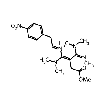 C\N=C(/C(CC(=O)OC)=C(\N=C\Cc1ccc([N+](=O)[O-])cc1)N(C)C)N(C)C